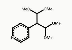 COC(OC)C(c1ccncc1)C(OC)OC